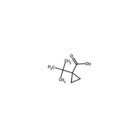 [CH2]C(C)(C)C1(C(=O)O)CC1